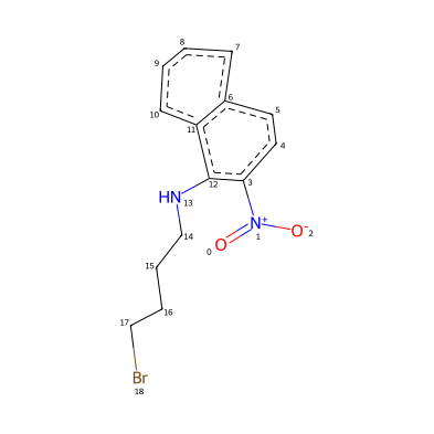 O=[N+]([O-])c1ccc2ccccc2c1NCCCCBr